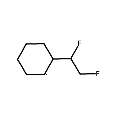 FCC(F)C1[CH]CC[CH]C1